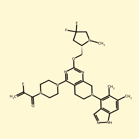 C=C(F)C(=O)N1CCN(c2nc(OC[C@@H]3CC(F)(F)CN3C)nc3c2CCN(c2c(C)c(C)cc4[nH]ncc24)C3)CC1